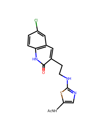 CC(=O)Nc1cnc(NCCc2cc3cc(Cl)ccc3[nH]c2=O)s1